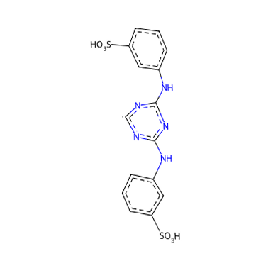 O=S(=O)(O)c1cccc(Nc2n[c]nc(Nc3cccc(S(=O)(=O)O)c3)n2)c1